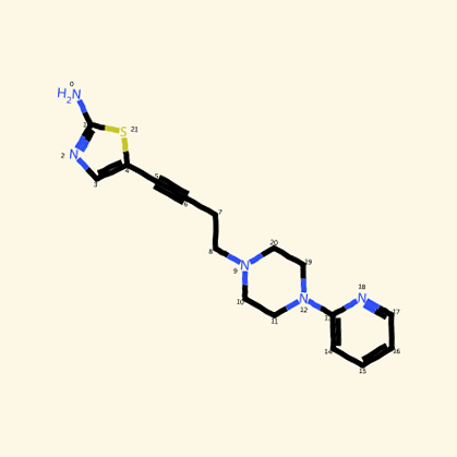 Nc1ncc(C#CCCN2CCN(c3ccccn3)CC2)s1